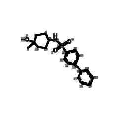 CC1(O)CCC(NS(=O)(=O)c2ccc(-c3ccccc3)cc2)CC1